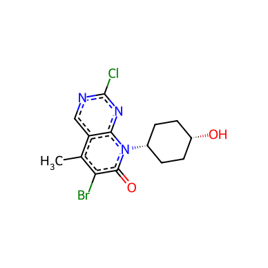 Cc1c(Br)c(=O)n([C@H]2CC[C@@H](O)CC2)c2nc(Cl)ncc12